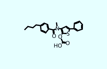 CCCCc1ccc(C(=O)N(C)c2cc(-c3ccccc3)sc2OC(=O)O)cc1